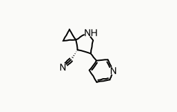 N#C[C@H]1C(c2cccnc2)CNC12CC2